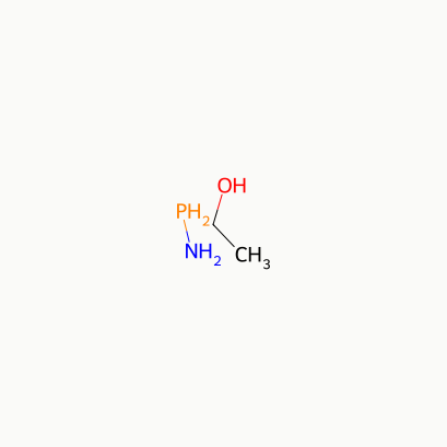 CCO.NP